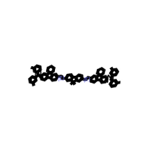 Cc1cccc(N(c2cccc(C)c2)c2ccc3c(c2)C2(CCCCC2)c2cc(/C=C/c4ccc5c(c4)C(C)(C)c4cc(/C=C/c6ccc7c(c6)C6(CCCCC6)c6cc(N(c8cccc(C)c8)c8cccc(C)c8)ccc6-7)ccc4-5)ccc2-3)c1